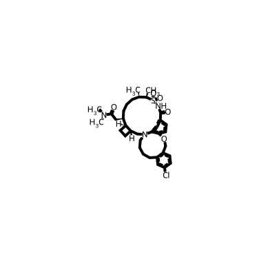 C[C@@H]1[C@@H](C)CCC[C@H](CC(=O)N(C)C)[C@@H]2CC[C@H]2CN2CCCCc3cc(Cl)ccc3COc3ccc(cc32)C(=O)NS1(=O)=O